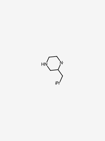 CC(C)CC1CNCC[N]1